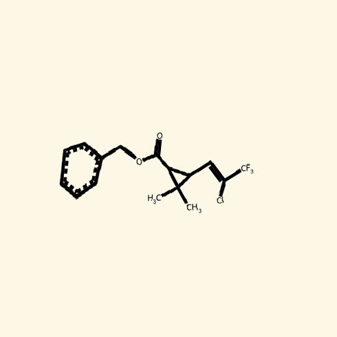 CC1(C)C(/C=C(\Cl)C(F)(F)F)C1C(=O)OCc1ccccc1